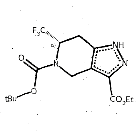 CCOC(=O)c1n[nH]c2c1CN(C(=O)OC(C)(C)C)[C@H](C(F)(F)F)C2